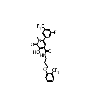 Cn1c(-c2cc(F)cc(C(F)(F)F)c2)cc(C(=O)NCCCOc2ccccc2C(F)(F)F)c(O)c1=O